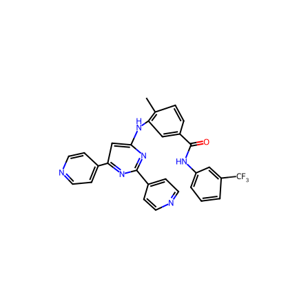 Cc1ccc(C(=O)Nc2cccc(C(F)(F)F)c2)cc1Nc1cc(-c2ccncc2)nc(-c2ccncc2)n1